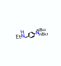 CCCCN(CCCC)c1ccc(CNCC)cc1